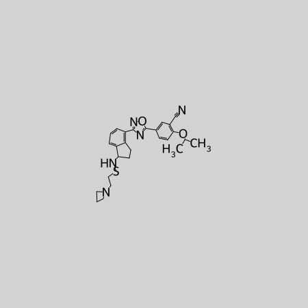 CC(C)Oc1ccc(-c2nc(-c3cccc4c3CCC4NSCCN3CCC3)no2)cc1C#N